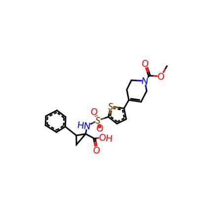 COC(=O)N1CC=C(c2ccc(S(=O)(=O)NC3(C(=O)O)CC3c3ccccc3)s2)CC1